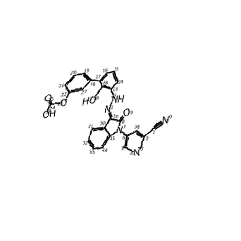 N#Cc1cncc(N2C(=O)C(=NNc3cccc(-c4cccc(OC(=O)O)c4)c3O)c3ccccc32)c1